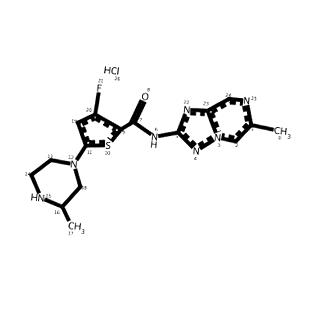 Cc1cn2nc(NC(=O)c3sc(N4CCNC(C)C4)cc3F)nc2cn1.Cl